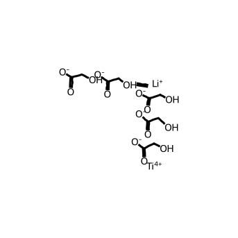 C=C.O=C([O-])CO.O=C([O-])CO.O=C([O-])CO.O=C([O-])CO.O=C([O-])CO.[Li+].[Ti+4]